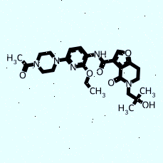 CCOc1nc(N2CCN(C(C)=O)CC2)ccc1NC(=O)c1coc2c1C(=O)N(CC(C)(C)O)CC2